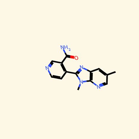 Cc1cnc2c(c1)nc(-c1ccncc1C(N)=O)n2C